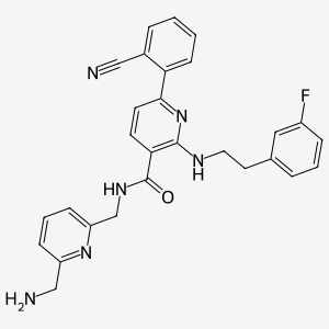 N#Cc1ccccc1-c1ccc(C(=O)NCc2cccc(CN)n2)c(NCCc2cccc(F)c2)n1